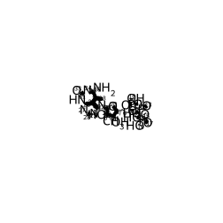 C[C@@]1(O)[C@H](O)[C@@H](COP(=O)(O)OP(=O)(O)OP(=O)(O)O)O[C@H]1n1cc2c3c(ncnc31)NC(=O)N=C2N